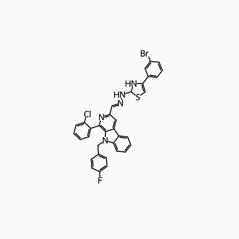 Fc1ccc(Cn2c3ccccc3c3cc(C=NNC4NC(c5cccc(Br)c5)=CS4)nc(-c4ccccc4Cl)c32)cc1